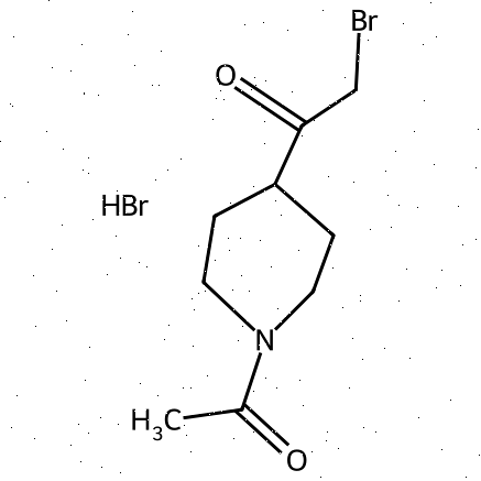 Br.CC(=O)N1CCC(C(=O)CBr)CC1